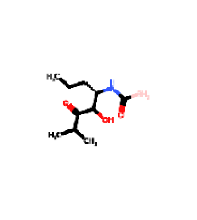 BC(=O)N[C@@H](CCC)C(O)C(=O)C(C)C